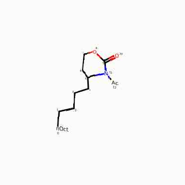 CCCCCCCCCCCCC1CCOC(=O)N1C(C)=O